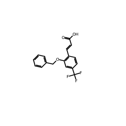 O=C(O)C=Cc1ccc(C(F)(F)F)cc1OCc1ccccc1